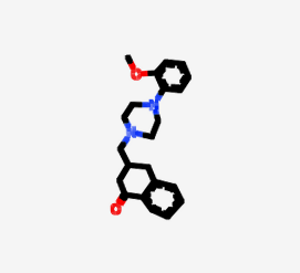 COc1ccccc1N1CCN(CC2CC(=O)c3ccccc3C2)CC1